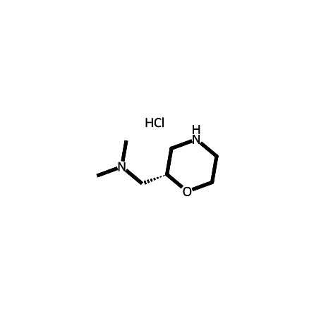 CN(C)C[C@@H]1CNCCO1.Cl